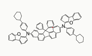 c1ccc(C2(c3ccccc3)c3c(ccc4cc(N(c5ccc(C6CCCCC6)cc5)c5cccc6c5oc5ccccc56)ccc34)-c3ccc4cc(N(c5ccc(C6CCCCC6)cc5)c5cccc6c5oc5ccccc56)ccc4c32)cc1